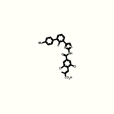 CC(=Cc1c(Cl)cc(C(=O)Nc2nc(-c3cccc(-c4ccc(C(C)(C)C)cc4)c3F)cs2)cc1Cl)C(=O)O